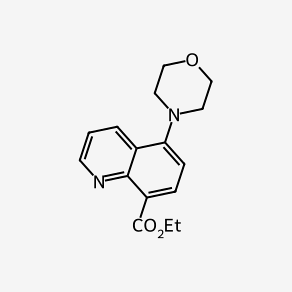 CCOC(=O)c1ccc(N2CCOCC2)c2cccnc12